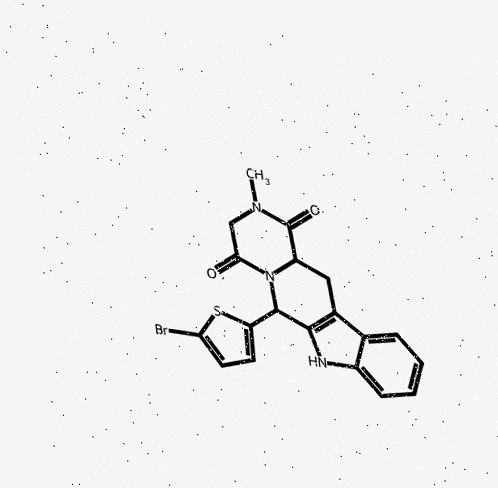 CN1CC(=O)N2C(Cc3c([nH]c4ccccc34)C2c2ccc(Br)s2)C1=O